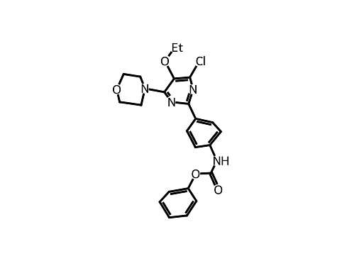 CCOc1c(Cl)nc(-c2ccc(NC(=O)Oc3ccccc3)cc2)nc1N1CCOCC1